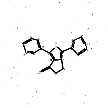 O=C1CCc2c(-c3ccncc3)sc(-c3cccnc3)c21